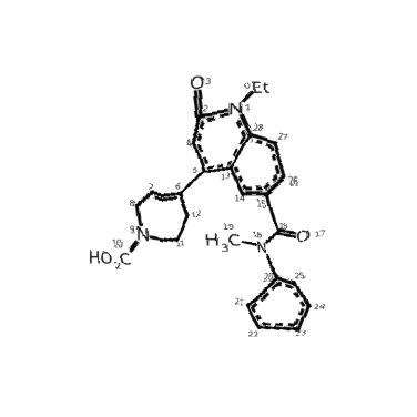 CCn1c(=O)cc(C2=CCN(C(=O)O)CC2)c2cc(C(=O)N(C)c3ccccc3)ccc21